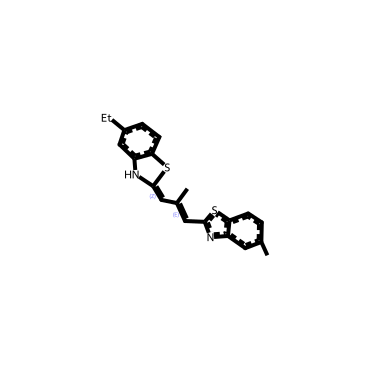 CCc1ccc2c(c1)N/C(=C/C(C)=C/c1nc3cc(C)ccc3s1)S2